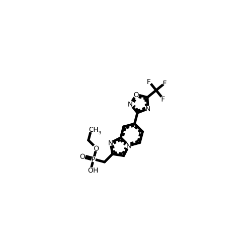 CCOP(=O)(O)Cc1cn2ccc(-c3noc(C(F)(F)F)n3)cc2n1